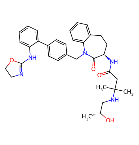 C[C@@H](O)CNC(C)(C)CC(=O)N[C@@H]1CCc2ccccc2N(Cc2ccc(-c3ccccc3NC3=NCCO3)cc2)C1=O